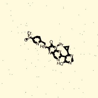 CC[S+]([O-])c1ccc(CNc2nc3cnc(-c4c(O)ncnc4C4CC4)nc3n(C(C)C)c2=O)nc1